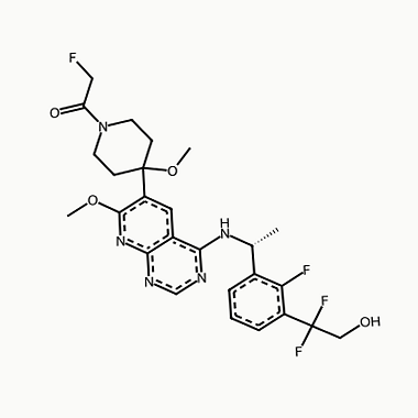 COc1nc2ncnc(N[C@H](C)c3cccc(C(F)(F)CO)c3F)c2cc1C1(OC)CCN(C(=O)CF)CC1